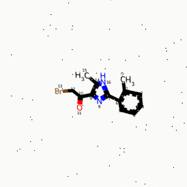 Cc1ccccc1-c1nc(C(=O)CBr)c(C)[nH]1